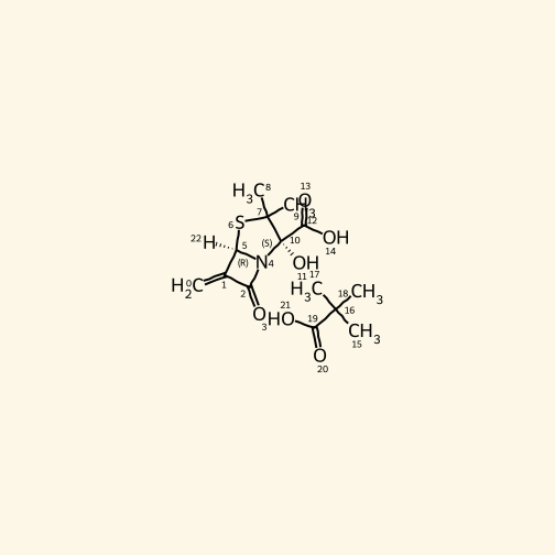 C=C1C(=O)N2[C@@H]1SC(C)(C)[C@@]2(O)C(=O)O.CC(C)(C)C(=O)O